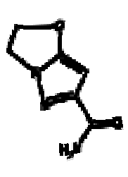 NC(=O)c1cc2n(n1)CCO2